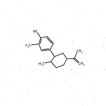 C=C(C)C1CCC(C)C(c2ccc(C#N)c(C(F)(F)F)c2)C1